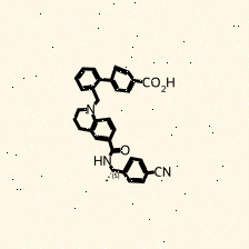 C[C@H](NC(=O)c1ccc2c(c1)CCCN2Cc1ccccc1-c1ccc(C(=O)O)cc1)c1ccc(C#N)cc1